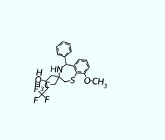 CCC1(CC(O)CC(F)(F)F)CSc2c(OC)cccc2C(c2ccccc2)N1